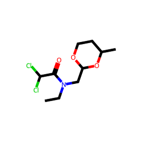 CCN(CC1OCCC(C)O1)C(=O)C(Cl)Cl